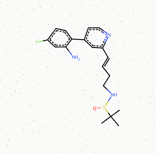 CC(C)(C)[S@+]([O-])NCCC=Cc1cc(-c2ccc(F)cc2N)ccn1